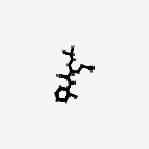 [CH2]c1ccccc1NC(=O)N(CCO)CCC(C)C